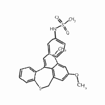 COc1cc2c(c(OC)c1)/C(=C\c1cccc(NS(C)(=O)=O)c1)c1ccccc1SC2